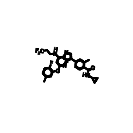 Cc1ccc(F)c(Oc2cc(NCCC(F)(F)F)c3ncc(-c4ccc(C(=O)NC5CC5)c(C)c4)n3n2)c1